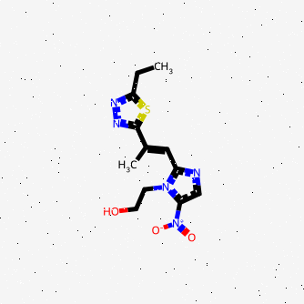 CCc1nnc(C(C)=Cc2ncc([N+](=O)[O-])n2CCO)s1